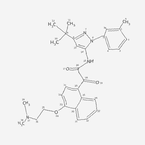 Cc1cccc(-n2nc(C(C)(C)C)cc2NC(=O)C(=O)c2ccc(OCCN(C)C)c3ccccc23)c1